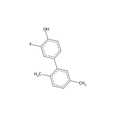 Cc1ccc(C)c(-c2ccc(O)c(F)c2)c1